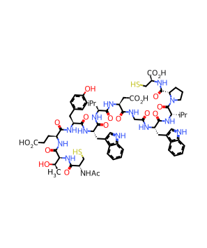 CC(=O)N[C@@H](CS)C(=O)N[C@H](C(=O)N[C@@H](CCC(=O)O)C(=O)N[C@@H](Cc1ccc(O)cc1)C(=O)N[C@@H](Cc1c[nH]c2ccccc12)C(=O)N[C@H](C(=O)N[C@@H](CC(=O)O)C(=O)NCC(=O)N[C@@H](Cc1c[nH]c2ccccc12)C(=O)N[C@H](C(=O)N1CCC[C@H]1C(=O)N[C@@H](CS)C(=O)O)C(C)C)C(C)C)[C@@H](C)O